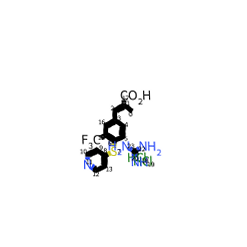 CC(=Cc1ccc(Sc2ccncc2)c(C(F)(F)F)c1)C(=O)O.Cl.Cl.N=C(N)N